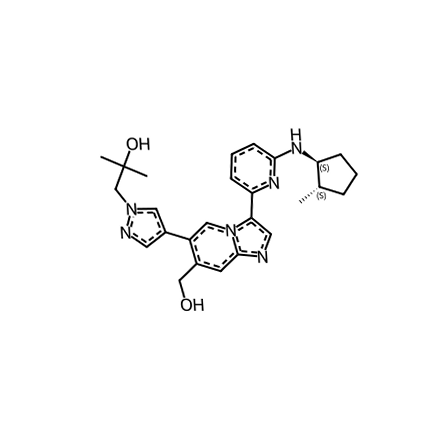 C[C@H]1CCC[C@@H]1Nc1cccc(-c2cnc3cc(CO)c(-c4cnn(CC(C)(C)O)c4)cn23)n1